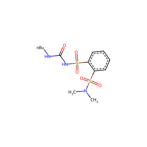 CCCCNC(=O)NS(=O)(=O)c1ccccc1S(=O)(=O)N(C)C